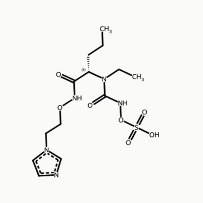 CCC[C@@H](C(=O)NOCCn1ccnc1)N(CC)C(=O)NOS(=O)(=O)O